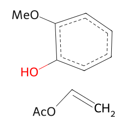 C=COC(C)=O.COc1ccccc1O